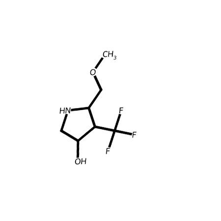 COCC1NCC(O)C1C(F)(F)F